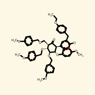 CCOc1ccc(Cc2cc([C@@H]3C(=O)[C@H](COCc4ccc(OC)cc4)[C@@H](OCc4ccc(OC)cc4)[C@H](OCc4ccc(OC)cc4)[C@H]3Oc3ccc(OC)cc3)ccc2Cl)cc1